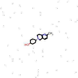 Cc1ccc2c(n1)CCN([C@H]1CC[C@H](O)CC1)C2